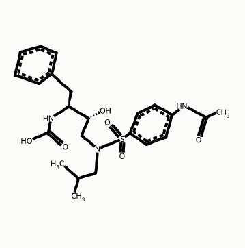 CC(=O)Nc1ccc(S(=O)(=O)N(CC(C)C)C[C@@H](O)[C@H](Cc2ccccc2)NC(=O)O)cc1